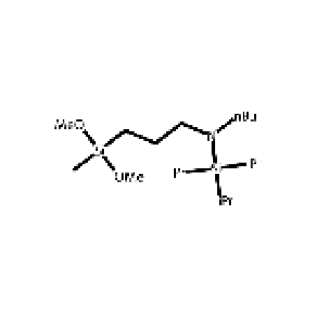 CCCCN(CCC[Si](C)(OC)OC)[Si](C(C)C)(C(C)C)C(C)C